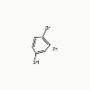 Sc1ccc(Br)cc1.[Zn]